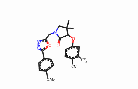 COc1ccc(-c2nnc(CN3CC(C)(C)C(Oc4ccc(C#N)c(C(F)(F)F)c4)C3=O)o2)cc1